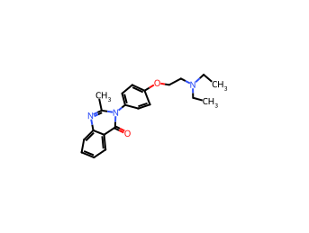 CCN(CC)CCOc1ccc(-n2c(C)nc3ccccc3c2=O)cc1